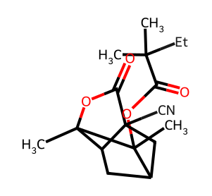 CCC(C)(C)C(=O)OC1(C)C2CC3C(C#N)(C2)C(=O)OC31C